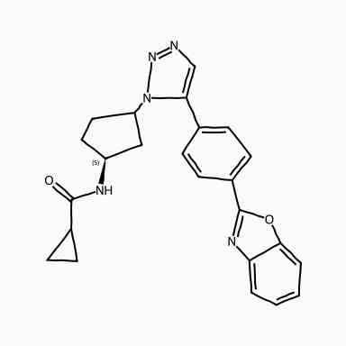 O=C(N[C@H]1CCC(n2nncc2-c2ccc(-c3nc4ccccc4o3)cc2)C1)C1CC1